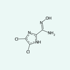 NC(=NO)c1nc(Cl)c(Cl)[nH]1